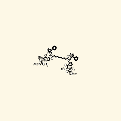 CN[C@@H](C)C(=O)NC(C(=O)N1CCC[C@H]1CN(Cc1nnnn1-c1ccccc1)C(=O)CCCCCCCCC(=O)N(Cc1nnnn1-c1ccccc1)C[C@@H]1CCCN1C(=O)[C@@H](NC(=O)[C@H](C)NC)C(C)(C)C)C(C)(C)C